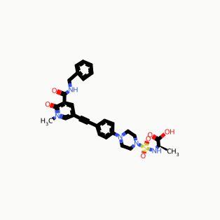 C[C@@H](NS(=O)(=O)N1CCN(c2ccc(C#Cc3cc(C(=O)NCc4ccccc4)c(=O)n(C)c3)cc2)CC1)C(=O)O